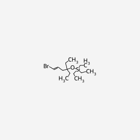 CCC(CC)(CC=CBr)O[Si](CC)(CC)CC